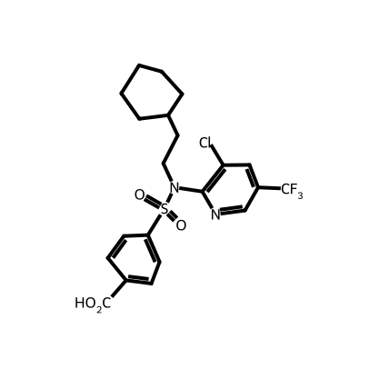 O=C(O)c1ccc(S(=O)(=O)N(CCC2CCCCC2)c2ncc(C(F)(F)F)cc2Cl)cc1